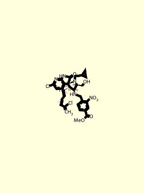 C=C(Cl)/C=C\C=C(/F)[C@H]1[C@H](NCc2ccc(C(=O)OC)cc2[N+](=O)[O-])[C@H](CO)N(CC2CC2)[C@@]12C(=O)Nc1nc(Cl)ccc12